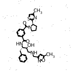 Cc1csc([C@H]2CCCN2C(=O)c2cccc(C(=O)N[C@@H](Cc3ccccc3)[C@@H](O)CNCc3cc(C)on3)c2)n1